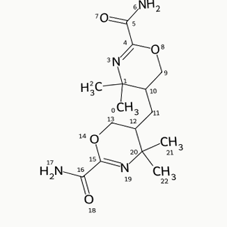 CC1(C)N=C(C(N)=O)OCC1CC1COC(C(N)=O)=NC1(C)C